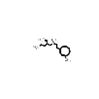 C=CC(CCC)CN(C)CC/C1=C/C=C(/C)CCCC=C1